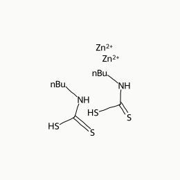 CCCCNC(=S)S.CCCCNC(=S)S.[Zn+2].[Zn+2]